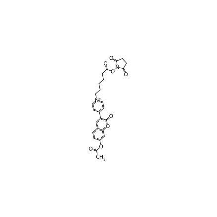 CC(=O)Oc1ccc2cc(-c3cc[n+](CCCCCC(=O)ON4C(=O)CCC4=O)cc3)c(=O)oc2c1